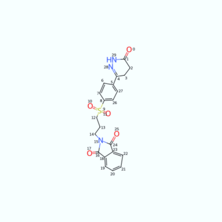 O=C1CCC(c2ccc(S(=O)(=O)CCCN3C(=O)c4ccccc4C3=O)cc2)=NN1